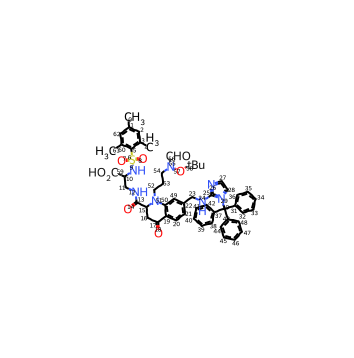 Cc1cc(C)c(S(=O)(=O)NC(CNC(=O)C2CC(=O)c3ccc(CNc4nccn4C(c4ccccc4)(c4ccccc4)c4ccccc4)cc3N2CCCN(C=O)OC(C)(C)C)C(=O)O)c(C)c1